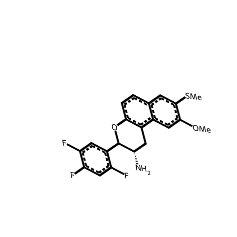 COc1cc2c3c(ccc2cc1SC)OC(c1cc(F)c(F)cc1F)[C@@H](N)C3